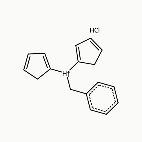 C1=CC[C]([Hf]([CH2]c2ccccc2)[C]2=CC=CC2)=C1.Cl